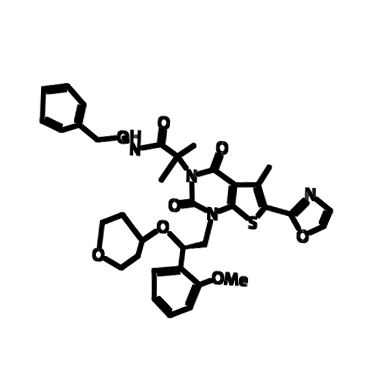 COc1ccccc1[C@H](Cn1c(=O)n(C(C)(C)C(=O)NOCc2ccccc2)c(=O)c2c(C)c(-c3ncco3)sc21)OC1CCOCC1